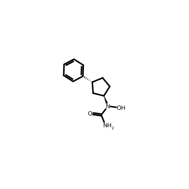 NC(=O)N(O)[C@@H]1CC[C@@H](c2ccccc2)C1